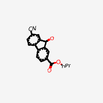 CCCOC(=O)c1ccc2c(c1)C(=O)c1cc(C#N)ccc1-2